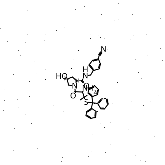 CC(C)(SC(c1ccccc1)(c1ccccc1)c1ccccc1)C(N)C(=O)N1C[C@H](O)C[C@H]1C(=O)NCc1ccc(C#N)cc1